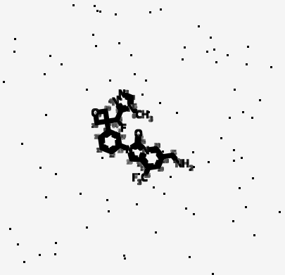 Cn1cnnc1[C@@H](F)C1(c2cccc(-n3cc4c(C(F)(F)F)cc(CN)cn4c3=O)c2)COC1